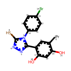 CC(C)c1cc(-c2nnc(S)n2-c2ccc(Br)cc2)c(O)cc1O